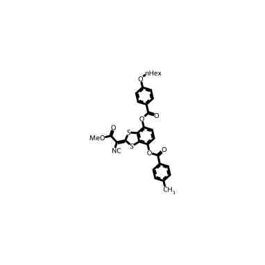 [C-]#[N+]/C(C(=O)OC)=C1\Sc2c(OC(=O)c3ccc(C)cc3)ccc(OC(=O)c3ccc(OCCCCCC)cc3)c2S1